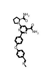 C/N=C/c1ccc(Oc2ccc(-c3nc(C(N)=O)cc(N4CCC[C@H]4C(N)=O)n3)cc2)cc1